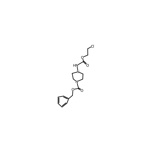 O=C(NN1CCN(C(=O)OCc2ccccc2)CC1)OCCCl